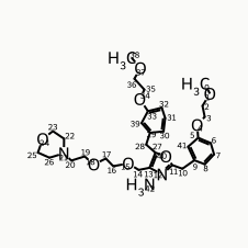 COCCOc1cccc(Cc2nc(COCCOCCN3CCOCC3)c(Cc3cccc(OCCOC)c3)o2)c1.N